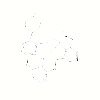 Cc1c(Nc2ncc(Cl)c(NCc3cccc4c3C(C)(C)C(=O)N4)n2)ccc(C2CCNCC2)c1C